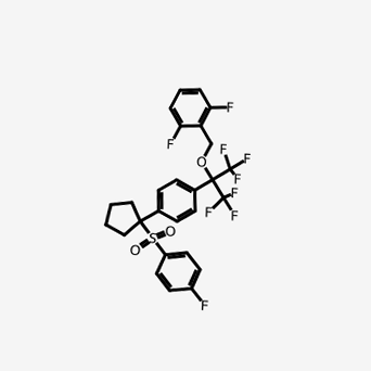 O=S(=O)(c1ccc(F)cc1)C1(c2ccc(C(OCc3c(F)cccc3F)(C(F)(F)F)C(F)(F)F)cc2)CCCC1